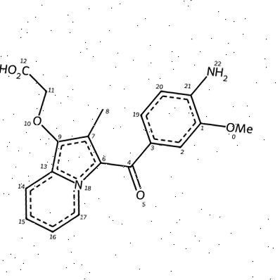 COc1cc(C(=O)c2c(C)c(OCC(=O)O)c3ccccn23)ccc1N